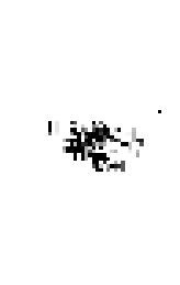 CC(C)c1cnc2c(NC(C)c3ccccc3)cc(NC3CCNCC3)nn12